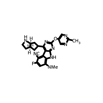 CNc1cc(F)c(C#N)c2c1[nH]c1nc(Oc3cnc(C)nc3)nc(C3C[C@H]4CCN[C@H]4C3)c12